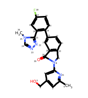 Cc1cc(CO)cc(N2Cc3ccc(-c4ccc(F)cc4-c4nncn4C)cc3C2=O)n1